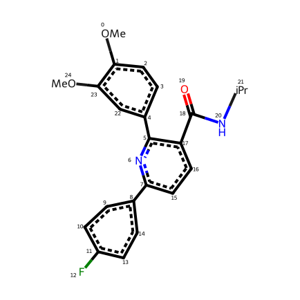 COc1ccc(-c2nc(-c3ccc(F)cc3)ccc2C(=O)NC(C)C)cc1OC